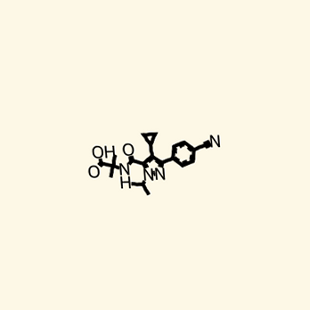 CC(C)n1nc(-c2ccc(C#N)cc2)c(C2CC2)c1C(=O)NC(C)(C)C(=O)O